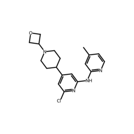 Cc1ccnc(Nc2cc(C3CCN(C4COC4)CC3)cc(Cl)n2)c1